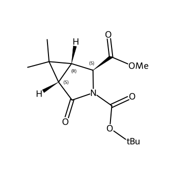 COC(=O)[C@@H]1[C@@H]2[C@H](C(=O)N1C(=O)OC(C)(C)C)C2(C)C